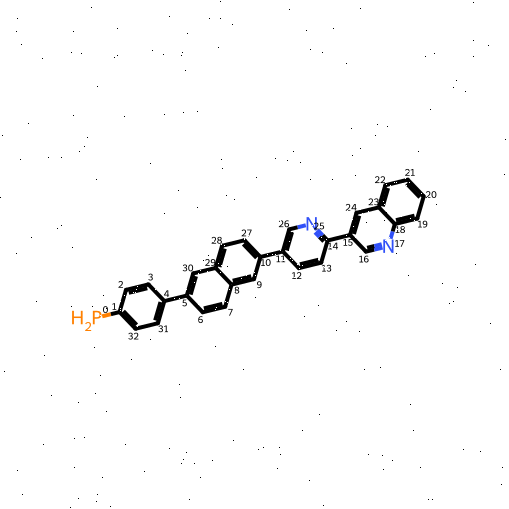 Pc1ccc(-c2ccc3cc(-c4ccc(-c5cnc6ccccc6c5)nc4)ccc3c2)cc1